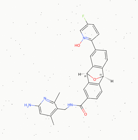 Cc1cc(N)nc(C)c1CNC(=O)c1ccc2c(c1)[C@@H]1O[C@H]2c2ccc(-c3ccc(F)c[n+]3O)cc21